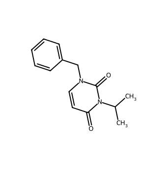 CC(C)n1c(=O)ccn(Cc2ccccc2)c1=O